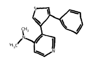 CN(C)c1ccncc1-c1cs[c]c1-c1ccccc1